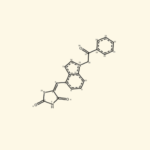 O=C1NC(=O)C(=Cc2cccc3c2ccn3CC(=O)c2ccccc2)S1